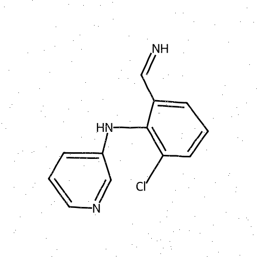 N=Cc1cccc(Cl)c1Nc1cccnc1